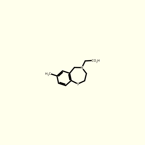 Cc1ccc2c(c1)CN(CC(=O)O)CCS2